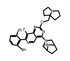 CC(C)c1cccc(C(C)C)c1-c1ncc2c(N3CC4CCC(C3)N4)nc(OCC34CCCN3CCC4)nc2c1F